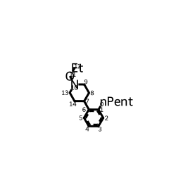 CCCCCc1ccccc1C1CCN(OCC)CC1